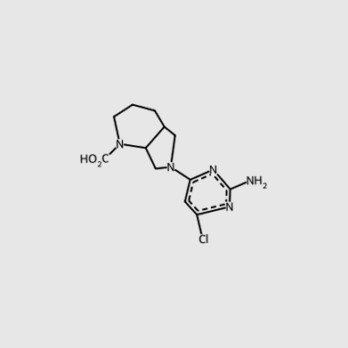 Nc1nc(Cl)cc(N2CC3CCCN(C(=O)O)C3C2)n1